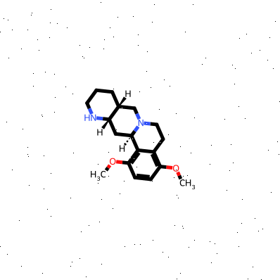 COc1ccc(OC)c2c1CCN1C[C@H]3CCCN[C@H]3C[C@H]21